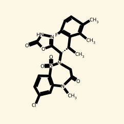 Cc1ccc(F)c(C(C)[C@@H](c2n[nH]c(=O)o2)N2CC(=O)N(C)c3cc(Cl)ccc3S2(=O)=O)c1C